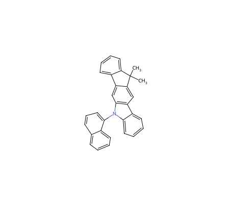 CC1(C)c2ccccc2-c2cc3c(cc21)c1ccccc1n3-c1cccc2ccccc12